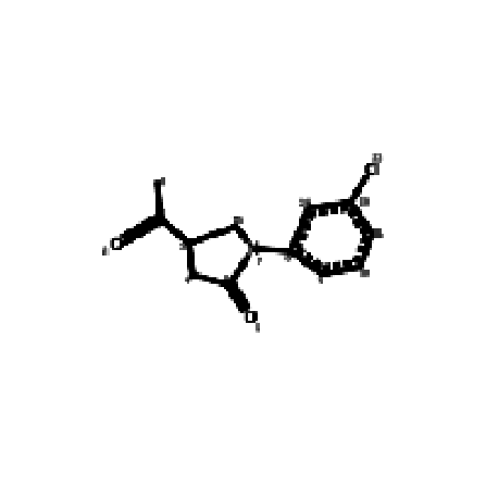 CC(=O)C1CC(=O)N(c2cccc(Cl)c2)C1